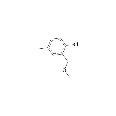 COCc1cc(C)ccc1Cl